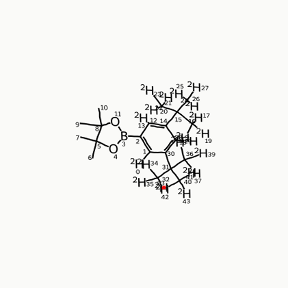 [2H]c1c(B2OC(C)(C)C(C)(C)O2)c([2H])c(C(C([2H])([2H])[2H])(C([2H])([2H])[2H])C([2H])([2H])[2H])c([2H])c1C(C([2H])([2H])[2H])(C([2H])([2H])[2H])C([2H])([2H])[2H]